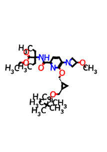 CCOC(=O)C(CC)(CC)NC(=O)c1ccc(N2CC(OC)C2)c(OC[C@@H]2C[C@H]2CO[Si](C)(C)C(C)(C)C)n1